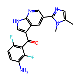 Cc1cnc(-c2cnc3[nH]cc(C(=O)c4c(F)ccc(N)c4F)c3c2)n1C